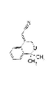 CC1(C)OCC(=CC#N)c2ccccc21